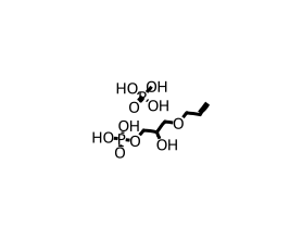 C=CCOCC(O)COP(=O)(O)O.O=P(O)(O)O